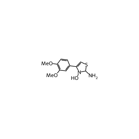 COc1ccc(C2=CSC(N)N2O)cc1OC